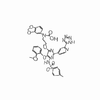 COc1ccccc1Oc1c(NS(=O)(=O)c2ccc(C)cc2)nc(-c2ccnc(-c3nnn[nH]3)c2)nc1OCCN(C(=O)O)c1ccc2c(c1)OCO2